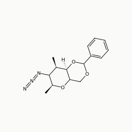 C[C@@H]1OC2COC(c3ccccc3)O[C@@H]2[C@H](C)C1N=[N+]=[N-]